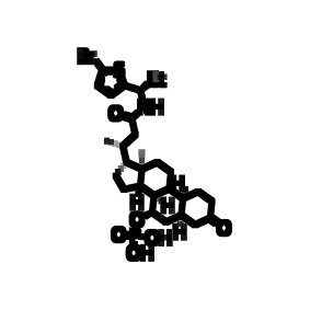 CC[C@@H](NC(=O)C[C@@H](C)[C@H]1CC[C@H]2[C@@H]3[C@H](OP(=O)(O)O)C[C@@H]4CC(=O)CC[C@]4(C)[C@H]3CC[C@]12C)c1ccc(Br)s1